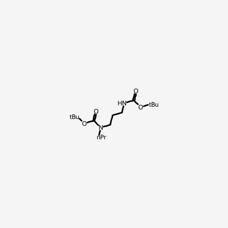 [CH2]CCN(CCCNC(=O)OC(C)(C)C)C(=O)OC(C)(C)C